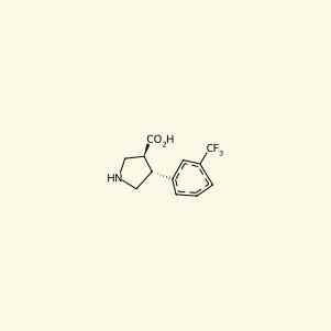 O=C(O)[C@@H]1CNC[C@H]1c1cccc(C(F)(F)F)c1